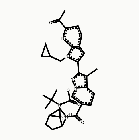 CC(=O)c1ccc2cc(-c3nn4cc(C(=O)N5CC6CCC5[C@@H]6N(C(=O)O)C(C)(C)C)ccc4c3C)n(CC3CC3)c2n1